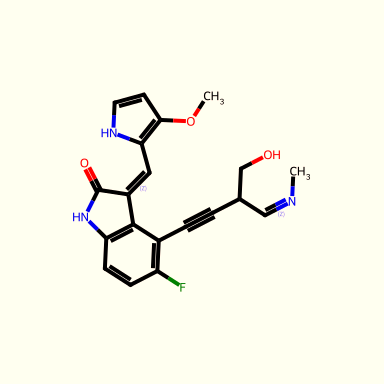 C/N=C\C(C#Cc1c(F)ccc2c1/C(=C/c1[nH]ccc1OC)C(=O)N2)CO